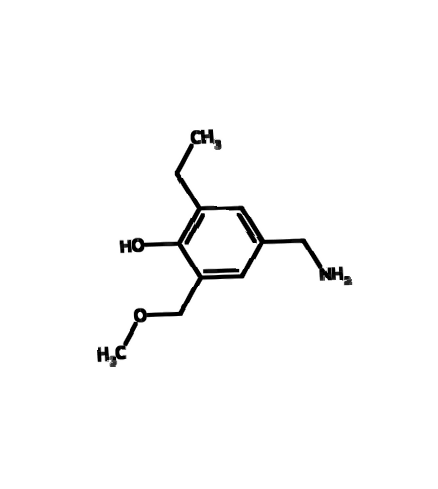 CCc1cc(CN)cc(COC)c1O